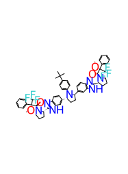 CO[C@](C(=O)N1CCC[C@H]1c1nc2ccc([C@H]3CC[C@H](c4ccc5nc([C@@H]6CCCN6C(=O)[C@@](OC)(c6ccccc6)C(F)(F)F)[nH]c5c4)N3c3ccc(C(C)(C)C)cc3)cc2[nH]1)(c1ccccc1)C(F)(F)F